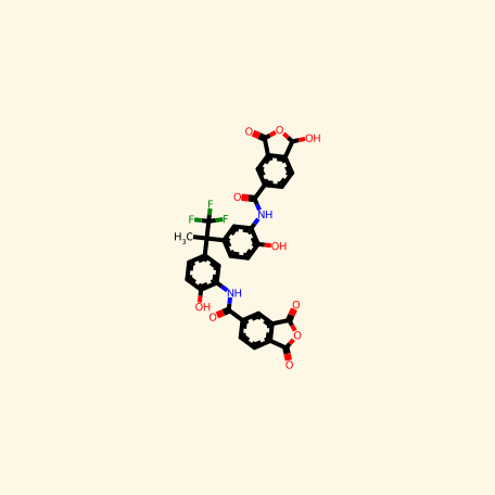 CC(c1ccc(O)c(NC(=O)c2ccc3c(c2)C(=O)OC3=O)c1)(c1ccc(O)c(NC(=O)c2ccc3c(c2)C(=O)OC3O)c1)C(F)(F)F